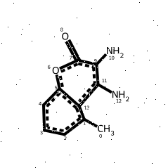 Cc1cccc2oc(=O)c(N)c(N)c12